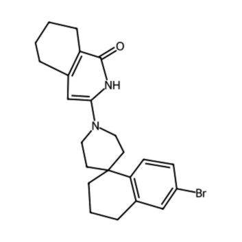 O=c1[nH]c(N2CCC3(CCCc4cc(Br)ccc43)CC2)cc2c1CCCC2